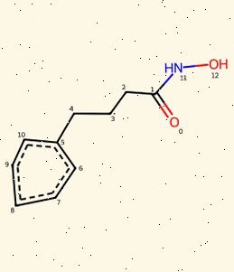 O=C(C[CH]Cc1ccccc1)NO